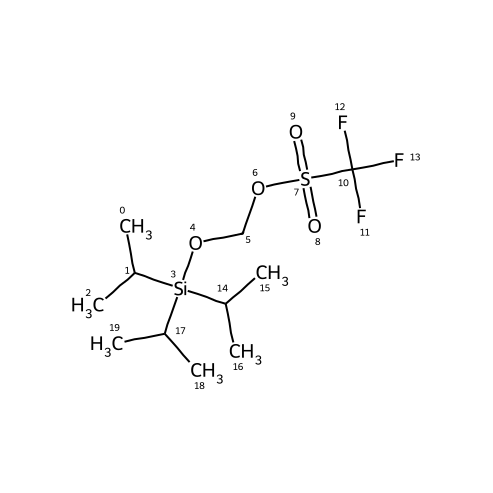 CC(C)[Si](OCOS(=O)(=O)C(F)(F)F)(C(C)C)C(C)C